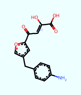 Nc1ccc(Cc2coc(C(=O)/C=C(\O)C(=O)O)c2)cc1